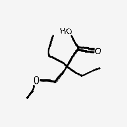 CCC(CC)(COC)C(=O)O